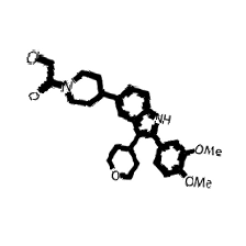 COc1ccc(-c2[nH]c3ccc(C4CCN(C(=O)CCl)CC4)cc3c2C2CCOCC2)cc1OC